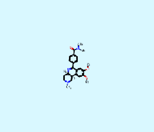 CCCCN(CCCC)C(=O)c1ccc(C2=N[C@@H]3CCN(C)C[C@@H]3c3cc(OCC)c(OCC)cc32)cc1